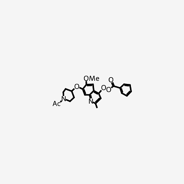 COc1cc2c(OOC(=O)c3ccccc3)cc(C)nc2cc1OC1CCN(C(C)=O)CC1